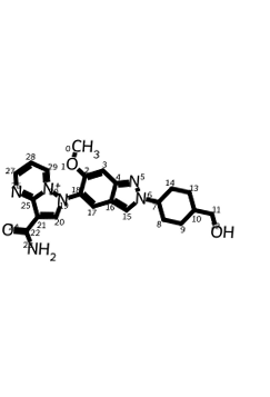 COc1cc2nn(C3CCC(CO)CC3)cc2cc1-n1cc(C(N)=O)c2nccc[n+]21